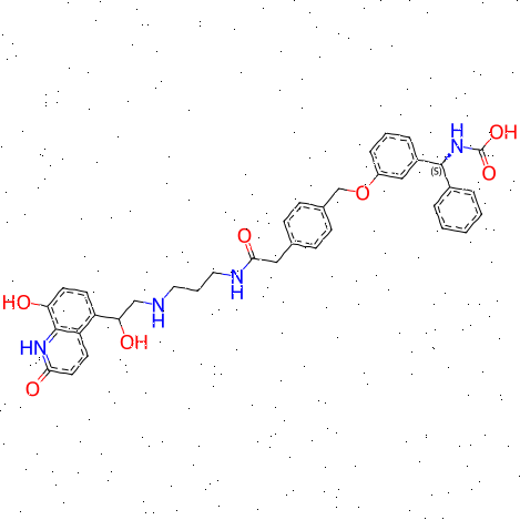 O=C(O)N[C@@H](c1ccccc1)c1cccc(OCc2ccc(CC(=O)NCCCNCC(O)c3ccc(O)c4[nH]c(=O)ccc34)cc2)c1